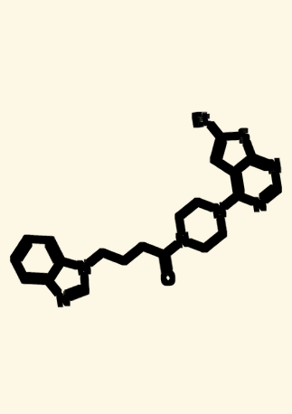 CCc1cc2c(N3CCN(C(=O)CCCn4cnc5ccccc54)CC3)ncnc2s1